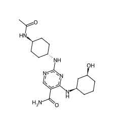 CC(=O)N[C@H]1CC[C@H](Nc2ncc(C(N)=O)c(N[C@@H]3CCC[C@H](O)C3)n2)CC1